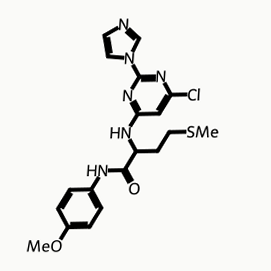 COc1ccc(NC(=O)C(CCSC)Nc2cc(Cl)nc(-n3ccnc3)n2)cc1